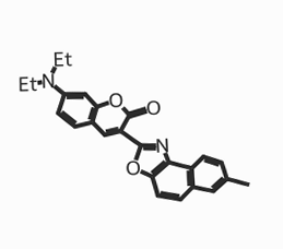 CCN(CC)c1ccc2cc(-c3nc4c(ccc5cc(C)ccc54)o3)c(=O)oc2c1